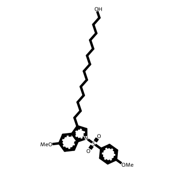 COc1ccc(S(=O)(=O)n2cc(CCCCCCCCCCCCCCO)c3cc(OC)ccc32)cc1